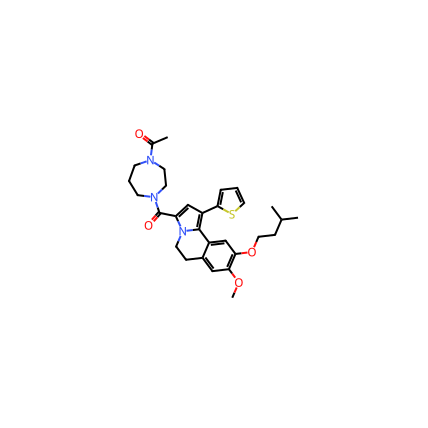 COc1cc2c(cc1OCCC(C)C)-c1c(-c3cccs3)cc(C(=O)N3CCCN(C(C)=O)CC3)n1CC2